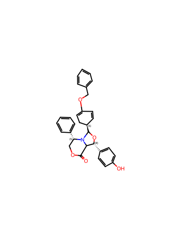 O=C1OC[C@H](c2ccccc2)N2C([C@@H]3C=CC(OCc4ccccc4)=CC3)O[C@H](c3ccc(O)cc3)C12